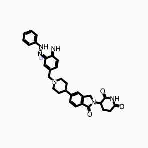 N=C1C=CC(CN2CCC(c3ccc4c(c3)CN(C3CCC(=O)NC3=O)C4=O)CC2)=C/C1=N/Nc1ccccc1